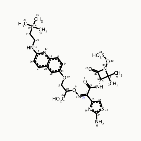 CC1(C)[C@H](NC(=O)/C(=N\OC(COc2ccc3nc(NCC[N+](C)(C)C)ccc3c2)C(=O)O)c2csc(N)n2)C(=O)N1OS(=O)(=O)O